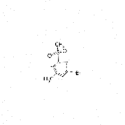 Cc1[c]c(S(C)(=O)=O)cc(Br)c1